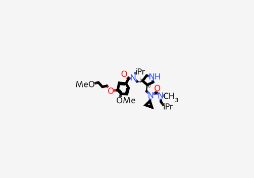 COCCCOc1cc(C(=O)N(C[C@@H]2CNC[C@H]2CN(C(=O)N(C)CC(C)C)C2CC2)C(C)C)ccc1OC